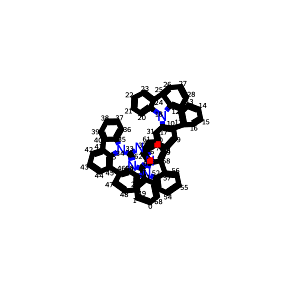 c1ccc(-c2nc(-c3ccc(-c4ccccc4)c(-n4c5ccccc5c5ccccc54)c3)nc(-n3c4ccccc4c4cccc(-c5cccc(-n6c7ccccc7c7ccccc76)c5)c43)n2)cc1